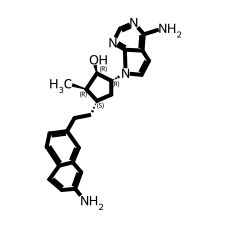 C[C@@H]1[C@@H](CCc2ccc3ccc(N)cc3c2)C[C@@H](n2ccc3c(N)ncnc32)[C@@H]1O